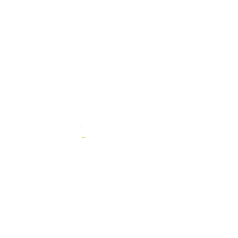 Cc1cc(O[C@H]2C[C@H](S(C)(=O)=O)C2)cc(C)c1Br